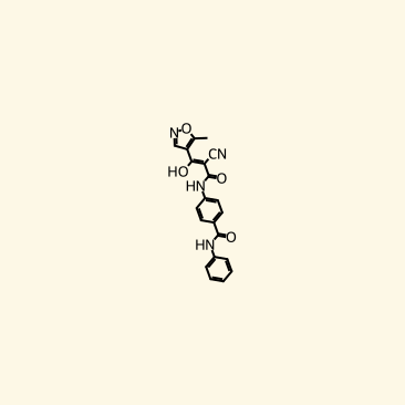 Cc1oncc1C(O)=C(C#N)C(=O)Nc1ccc(C(=O)Nc2ccccc2)cc1